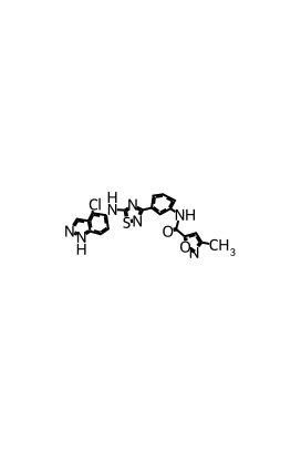 Cc1cc(C(=O)Nc2cccc(-c3nsc(Nc4ccc5[nH]ncc5c4Cl)n3)c2)on1